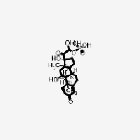 C[C@]12C=CC(=O)C=C1CC[C@@H]1[C@@H]2[C@@H](O)C[C@@]2(C)[C@H]1CC[C@]2(O)C(=O)C(O)OP(=O)(O)O